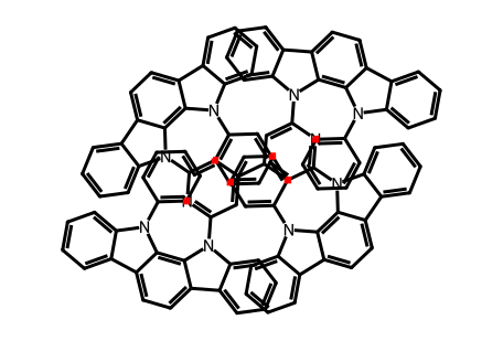 c1ccc(-n2c3ccccc3c3ccc4c5ccccc5n(-c5cc(-c6cc(-n7c8ccccc8c8ccc9c%10ccccc%10n(-c%10ccccc%10)c9c87)nc(-n7c8ccccc8c8ccc9c%10ccccc%10n(-c%10ccccc%10)c9c87)c6)cc(-n6c7ccccc7c7ccc8c9ccccc9n(-c9ccccc9)c8c76)n5)c4c32)cc1